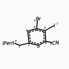 CCCC(C)Cc1cc(Br)c(I)c(C#N)c1